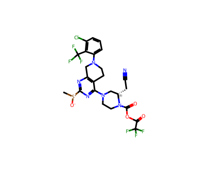 C[S+]([O-])c1nc2c(c(N3CCN(C(=O)OC(=O)C(F)(F)F)[C@@H](CC#N)C3)n1)CCN(c1cccc(Cl)c1C(F)(F)F)C2